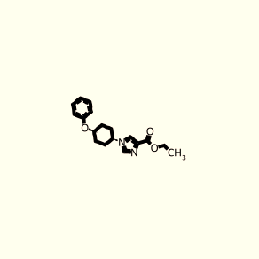 CCOC(=O)c1cn([C@H]2CC[C@H](Oc3ccccc3)CC2)cn1